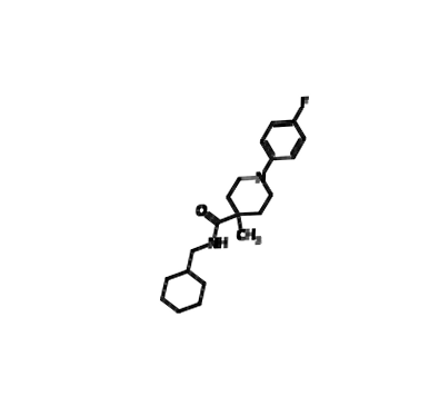 CC1(C(=O)NCC2CCCCC2)CCN(c2ccc(F)cc2)CC1